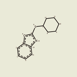 c1ccc2oc(SC3CCCCC3)nc2c1